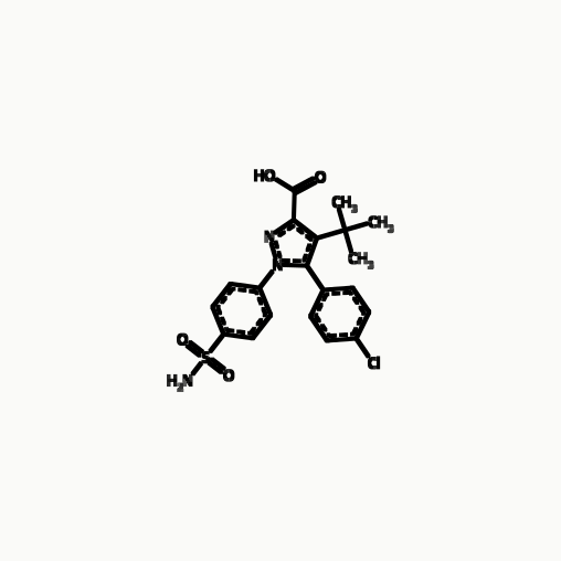 CC(C)(C)c1c(C(=O)O)nn(-c2ccc(S(N)(=O)=O)cc2)c1-c1ccc(Cl)cc1